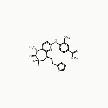 CNC(=O)c1ccc(Nc2ncc3c(n2)N(CCc2cccs2)CC(F)(F)C(=O)N3C)c(OC)c1